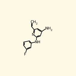 C=Cc1cc(N)cc(Nc2cccc(F)c2)n1